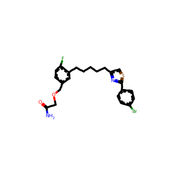 NC(=O)COCc1ccc(F)c(CCCCCc2csc(-c3ccc(Br)cc3)n2)c1